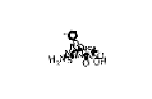 C[C@@H]1CCC[C@@H](O/N=C(\C(=O)N[C@H]2C(=O)N3[C@@H]2SC(C)(C)[C@@H]3C(=O)O)c2csc(N)n2)C1